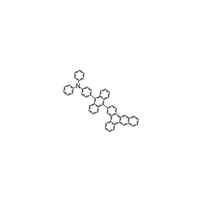 c1ccc(N(c2ccccc2)c2ccc(-c3c4ccccc4c(-c4ccc5c(c4)c4ccccc4c4cc6ccccc6cc54)c4ccccc34)cc2)cc1